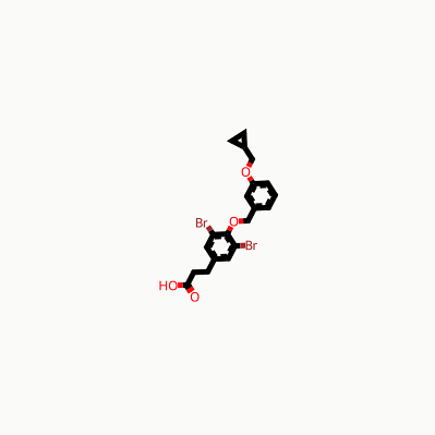 O=C(O)CCc1cc(Br)c(OCc2cccc(OCC3CC3)c2)c(Br)c1